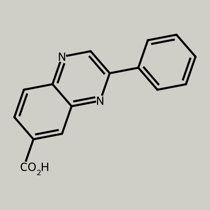 O=C(O)c1ccc2ncc(-c3ccccc3)nc2c1